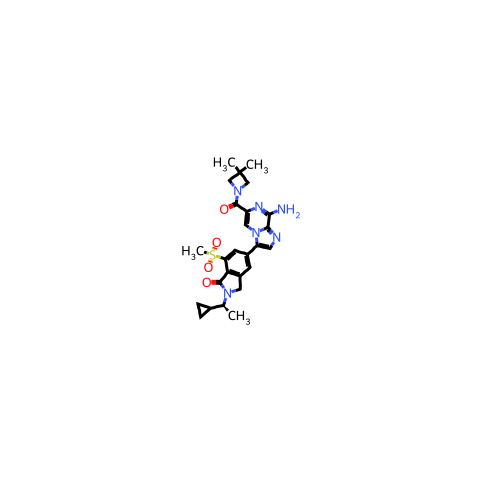 C[C@@H](C1CC1)N1Cc2cc(-c3cnc4c(N)nc(C(=O)N5CC(C)(C)C5)cn34)cc(S(C)(=O)=O)c2C1=O